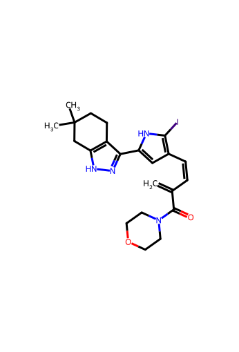 C=C(/C=C\c1cc(-c2n[nH]c3c2CCC(C)(C)C3)[nH]c1I)C(=O)N1CCOCC1